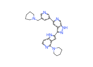 c1cc2[nH]c(-c3n[nH]c4cnc(-c5cncc(CN6CCCCC6)c5)cc34)cc2c(N2CCCCC2)n1